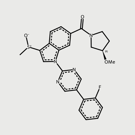 CO[C@@H]1CCN(C(=O)c2ccc3c([S+](C)[O-])cn(-c4ncc(-c5ccccc5F)cn4)c3c2)C1